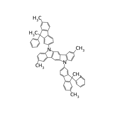 Cc1ccc2c(c1)C(C)(c1ccccc1)c1cc(-n3c4ccc(C)cc4c4cc5c(cc43)c3cc(C)ccc3n5-c3ccc4c(c3)C(C)(c3ccccc3)c3cc(C)ccc3-4)ccc1-2